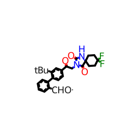 CC(C)(C)c1cc(C(=O)CN2C(=O)NC3(CCC(F)(F)CC3)C2=O)ccc1-c1ccccc1[C]=O